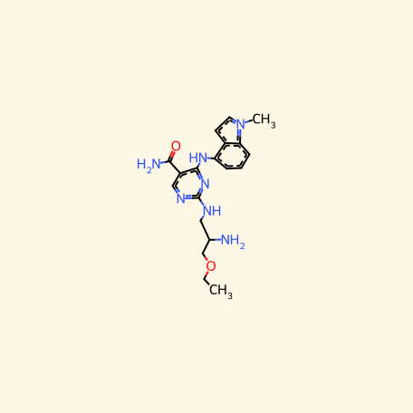 CCOCC(N)CNc1ncc(C(N)=O)c(Nc2cccc3c2ccn3C)n1